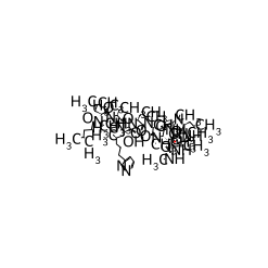 CC[C@H](NC(=O)[C@H]([C@H](O)[C@H](C)CCCc1cccnn1)N(C)C(=O)[C@H](C(C)C)N(C)C(=O)[C@H](CC(C)C)N(C)C(=O)CCC(C)C)C(=O)N(C)[C@H](C)C(=O)N(C)[C@@H](CC(C)C)C(=O)NCN(C)[C@@H](CC(C)C)C(=O)N[C@H](C)C(=O)NC(=O)NC